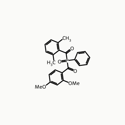 COc1ccc(C(=O)P(=O)(C(=O)c2c(C)cccc2C)c2ccccc2)c(OC)c1